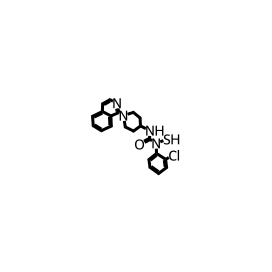 O=C(NC1CCN(c2nccc3ccccc23)CC1)N(S)c1ccccc1Cl